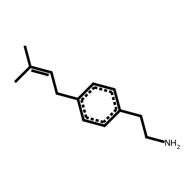 CC(C)=CCc1ccc(CCN)cc1